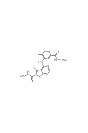 CCCNC(=O)c1sc2ncnc(Nc3cc(C(=O)NOC)ccc3C)c2c1C